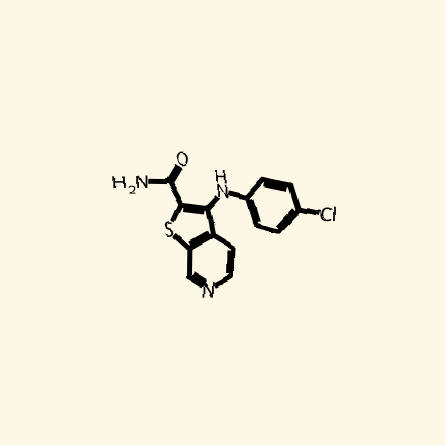 NC(=O)c1sc2cnccc2c1Nc1ccc(Cl)cc1